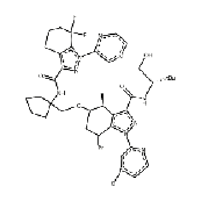 CC(C)C1CC(OCC2(NC(=O)c3nn(-c4cnccn4)c4c3CCCC4(F)F)CCCC2)[C@@H](C)c2c(C(=O)N[C@H](CO)C(C)(C)C)nn(-c3c[n+]([O-])ccn3)c21